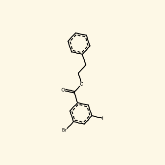 O=C(OCCc1ccccc1)c1cc(Br)cc(I)c1